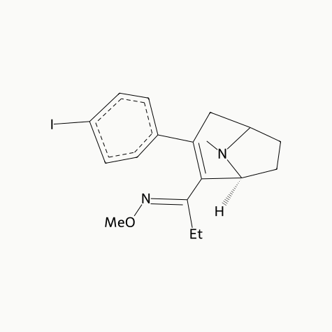 CCC(=NOC)C1=C(c2ccc(I)cc2)CC2CC[C@@H]1N2C